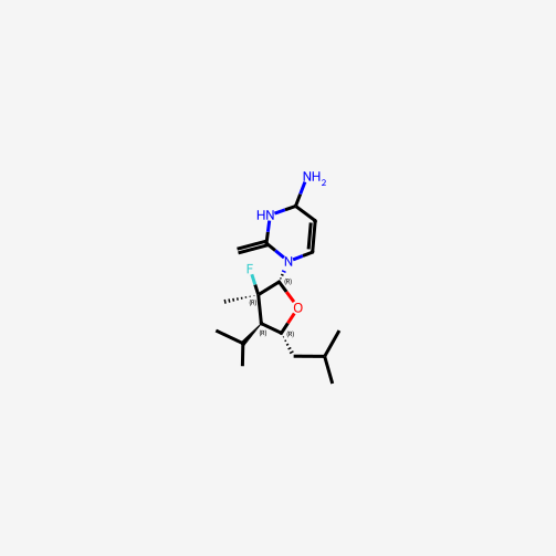 C=C1NC(N)C=CN1[C@@H]1O[C@H](CC(C)C)[C@@H](C(C)C)[C@@]1(C)F